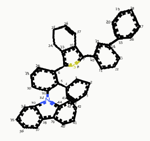 c1cccc(-c2c(-c3sc(-c4cccc(-c5ccccc5)c4)c4c3CCC=C4)cccc2-n2c3ccccc3c3ccccc32)c#1